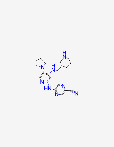 N#Cc1cnc(Nc2cc(NCC3CCCNC3)c(N3CCCC3)cn2)cn1